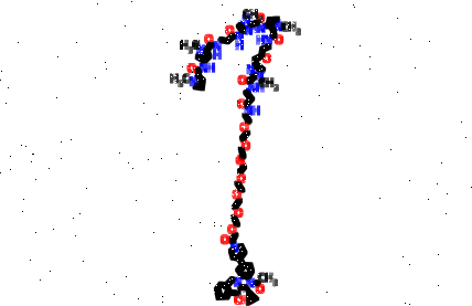 CC(=O)N1c2ccc(C3=CCN(C(=O)COCCOCCOCCOCCOCCOCCOCCNC(=O)CCNC(=O)c4nc(CC(=O)CCNC(=O)c5c(NC(=O)c6nc(NC(=O)CCNC(=O)c7cc(NC(=O)c8cccn8C)cn7C)cn6C)ccn5C)cn4C)CC3)cc2N(Cc2ccccc2CO)C[C@@H]1C1CC1